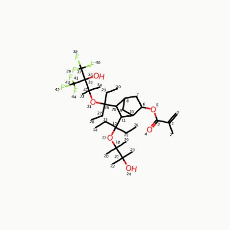 C=C(C)C(=O)OC1CC2CC1C(C(CC)(CC)OC(C)(C)C(C)(C)O)C2C(CC)(CC)OC(C)(C)C(O)(C(F)(F)F)C(F)(F)F